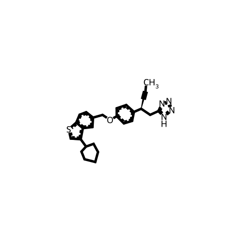 CC#C[C@@H](Cc1nnn[nH]1)c1ccc(OCc2ccc3scc(C4CCCCC4)c3c2)cc1